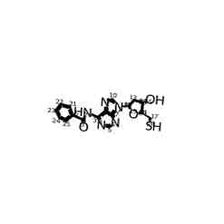 O=C(Nc1ncnc2c1ncn2[C@H]1C[C@H](O)[C@@H](CS)O1)c1ccccc1